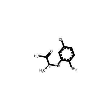 C[C@H](Nc1cc(Cl)ccc1N)C(N)=O